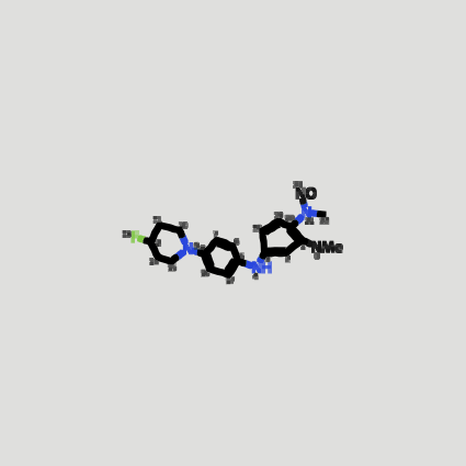 CNc1cc(Nc2ccc(N3CCC(F)CC3)cc2)ccc1N(C)N=O